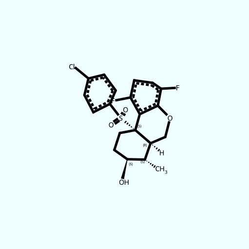 C[C@@H]1[C@@H](O)CC[C@@]2(S(=O)(=O)c3ccc(Cl)cc3)c3c(F)ccc(F)c3OC[C@@H]12